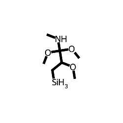 CNC(OC)(OC)C(C[SiH3])OC